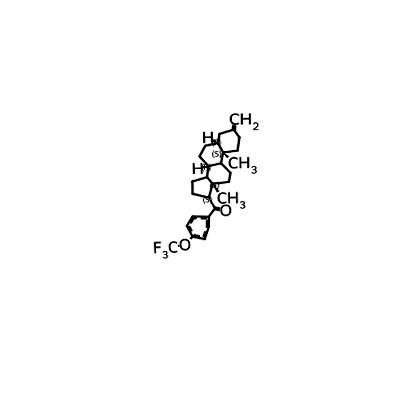 C=C1CC[C@]2(C)C3CC[C@@]4(C)C(CC[C@@H]4C(=O)c4ccc(OC(F)(F)F)cc4)[C@@H]3CC[C@@H]2C1